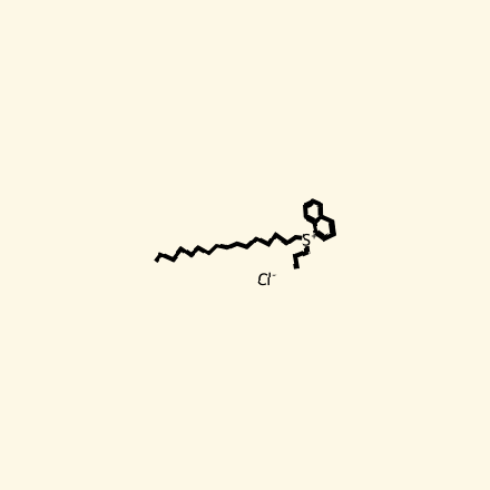 CCCCCCCCCCCCCCCC[S+](CCC)c1cccc2ccccc12.[Cl-]